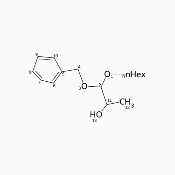 CCCCCCOC(OCc1ccccc1)C(C)O